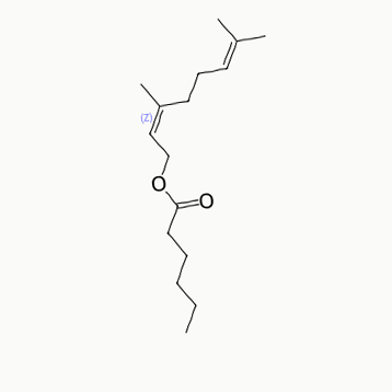 CCCCCC(=O)OC/C=C(/C)CCC=C(C)C